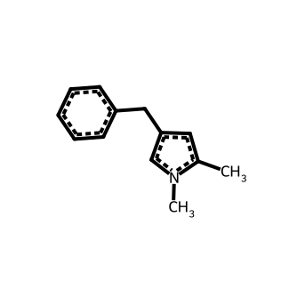 Cc1cc(Cc2ccccc2)cn1C